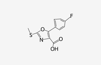 CSc1nc(C(=O)O)c(-c2ccc(F)cc2)o1